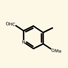 COc1cnc(C=O)cc1C